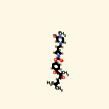 CC(C)=CC[C@H]1O[C@@]1(C)C1OC12CCC(OC(=O)N1CC(CCN3CCN(C)C(=O)C3)C1)CC2